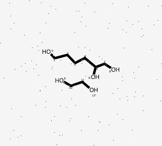 OCCCCC(O)CO.OCCO